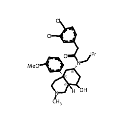 COc1cccc([C@@]23CCN(C)C[C@H]2C(O)C[C@@H](N(CC(C)C)C(=O)Cc2ccc(Cl)c(Cl)c2)C3)c1